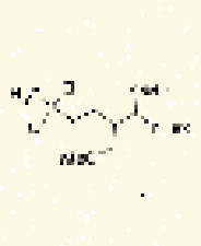 CCCCCCC(OC)C(CCC(C)(Cl)Cl)COC